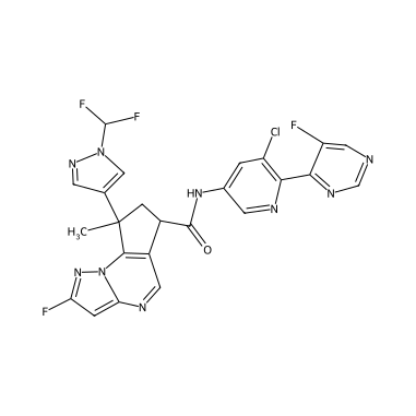 CC1(c2cnn(C(F)F)c2)CC(C(=O)Nc2cnc(-c3ncncc3F)c(Cl)c2)c2cnc3cc(F)nn3c21